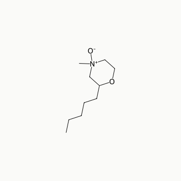 CCCCCC1C[N+](C)([O-])CCO1